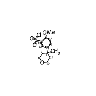 COc1ccc(C2(C)CCOCC2)cc1S(=O)(=O)Cl